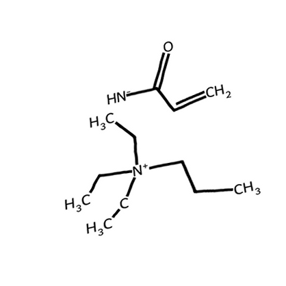 C=CC([NH-])=O.CCC[N+](CC)(CC)CC